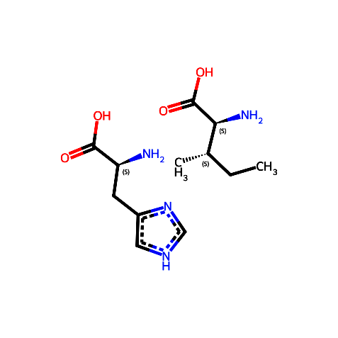 CC[C@H](C)[C@H](N)C(=O)O.N[C@@H](Cc1c[nH]cn1)C(=O)O